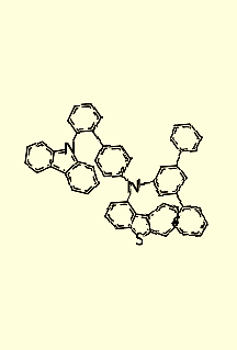 c1ccc(-c2cc(-c3ccccc3)cc(N(c3ccc(-c4ccccc4-n4c5ccccc5c5ccccc54)cc3)c3cccc4sc5ccccc5c34)c2)cc1